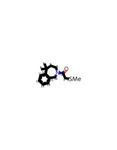 CSCC(=O)N1CCC(C)(C)c2ccccc2C1